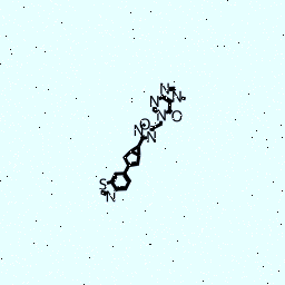 Cn1cnc2ncn(Cc3nc(C4C5C=C(c6ccc7ncsc7c6)CC54)no3)c(=O)c21